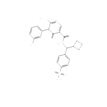 CC1=NC=C(C(=O)NC(c2ccc(S(C)(=O)=O)cc2)C2CCC2)C(=O)C1c1cccc(C(F)(F)F)c1